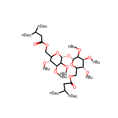 CCCCCCCCCCC(CCCCCCCCCC)CC(=O)OCC1O[C@H](O[C@H]2OC(COC(=O)CC(CCCCCCCCCC)CCCCCCCCCC)[C@@H](OCCCC)[C@H](OCCCC)C2OCCCC)C(OCCCC)[C@@H](OCCCC)[C@@H]1OCCCC